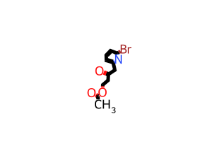 CC(=O)OCCC(=O)Cc1cccc(Br)n1